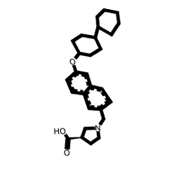 O=C(O)[C@@H]1CCN(Cc2ccc3cc(OC4CCC(C5CCCCC5)CC4)ccc3c2)C1